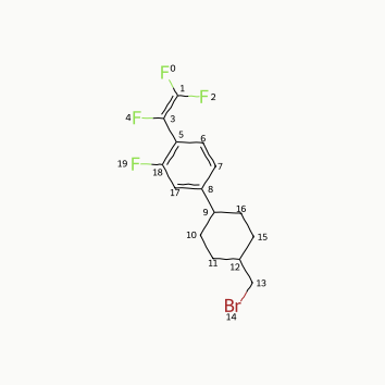 FC(F)=C(F)c1ccc(C2CCC(CBr)CC2)cc1F